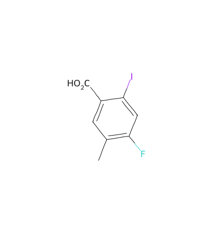 Cc1cc(C(=O)O)c(I)cc1F